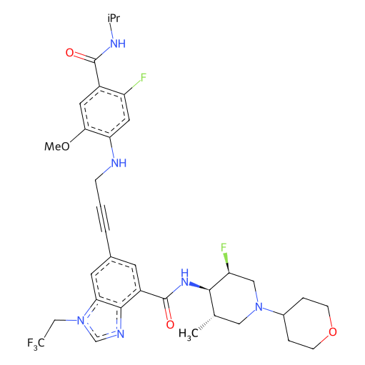 COc1cc(C(=O)NC(C)C)c(F)cc1NCC#Cc1cc(C(=O)N[C@@H]2[C@@H](C)CN(C3CCOCC3)C[C@@H]2F)c2ncn(CC(F)(F)F)c2c1